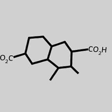 CC1C(C(=O)O)CC2CCC(C(=O)O)CC2C1C